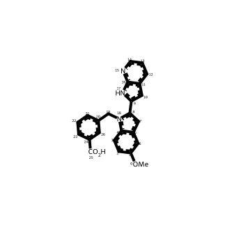 COc1ccc2c(c1)cc(-c1cc3cccnc3[nH]1)n2Cc1cccc(C(=O)O)c1